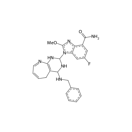 COc1nc2c(C(N)=O)cc(F)cc2n1C1NC2=C(CC=CC=N2)C(NCc2ccccc2)N1